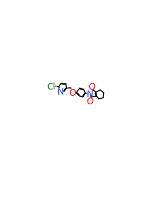 O=C1C2=C(CCCC2)C(=O)N1c1ccc(OCc2ccc(Cl)nc2)cc1